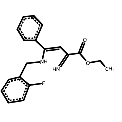 CCOC(=O)C(=N)/C=C(\NCc1ccccc1F)c1ccccc1